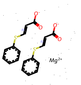 O=C([O-])/C=C/Sc1ccccc1.O=C([O-])/C=C/Sc1ccccc1.[Mg+2]